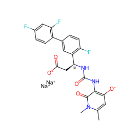 Cc1cc([O-])c(NC(=O)N[C@@H](CC(=O)[O-])c2cc(-c3ccc(F)cc3F)ccc2F)c(=O)n1C.[Na+].[Na+]